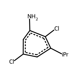 CC(C)c1cc(Cl)cc(N)c1Cl